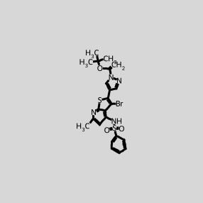 C=C(OC(C)(C)C)n1cc(-c2sc3nc(C)cc(NS(=O)(=O)c4ccccc4)c3c2Br)cn1